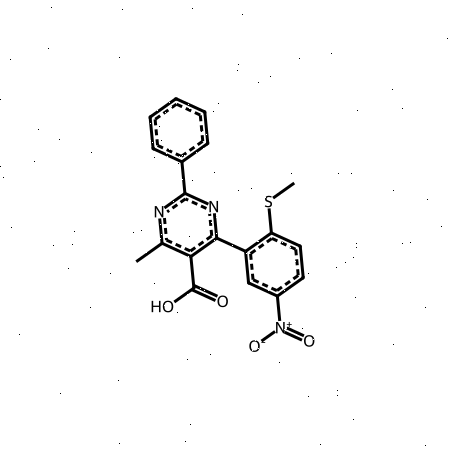 CSc1ccc([N+](=O)[O-])cc1-c1nc(-c2ccccc2)nc(C)c1C(=O)O